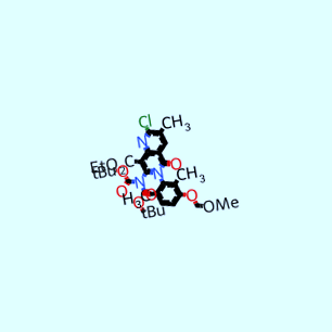 CCOC(=O)c1c(N(C(=O)OC(C)(C)C)C(=O)OC(C)(C)C)n(-c2c(C)ccc(OCOC)c2C)c(=O)c2cc(C)c(Cl)nc12